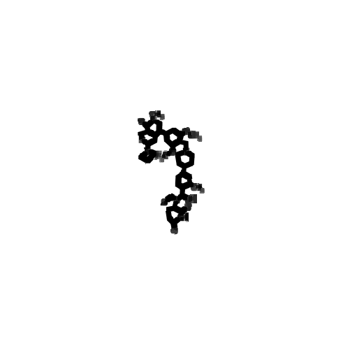 COc1cc(-c2cn(C)c(=O)c3cnc(N4CCC4)cc23)cc(OC)c1CN1CCC(c2ccc(C(O)N(C=O)C3CCC(=O)NC3=O)c(C)c2)CC1